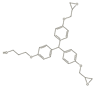 OCCCOc1ccc(C(c2ccc(OCC3CO3)cc2)c2ccc(OCC3CO3)cc2)cc1